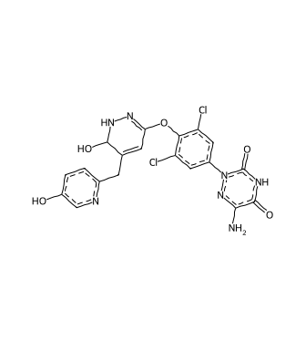 Nc1nn(-c2cc(Cl)c(OC3=NNC(O)C(Cc4ccc(O)cn4)=C3)c(Cl)c2)c(=O)[nH]c1=O